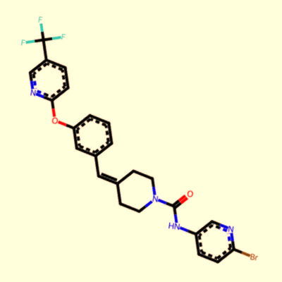 O=C(Nc1ccc(Br)nc1)N1CCC(=Cc2cccc(Oc3ccc(C(F)(F)F)cn3)c2)CC1